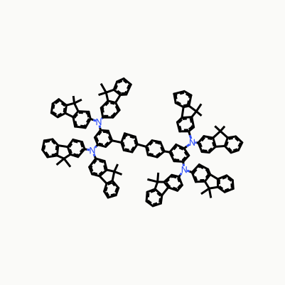 CC1(C)c2ccccc2-c2ccc(N(c3cc(-c4ccc(-c5ccc(-c6cc(N(c7ccc8c(c7)C(C)(C)c7ccccc7-8)c7ccc8c(c7)C(C)(C)c7ccccc7-8)cc(N(c7ccc8c(c7)C(C)(C)c7ccccc7-8)c7ccc8c(c7)C(C)(C)c7ccccc7-8)c6)cc5)cc4)cc(N(c4ccc5c(c4)C(C)(C)c4ccccc4-5)c4ccc5c(c4)C(C)(C)c4ccccc4-5)c3)c3ccc4c(c3)C(C)(C)c3ccccc3-4)cc21